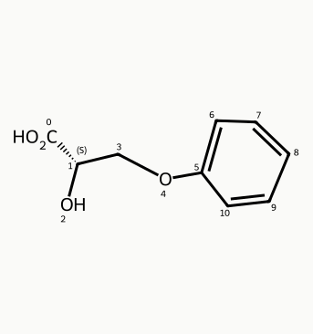 O=C(O)[C@@H](O)COc1ccccc1